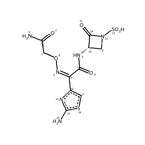 NC(=O)CON=C(C(=O)N[C@H]1CN(S(=O)(=O)O)C1=O)c1csc(N)n1